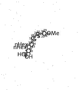 CCCCCCC1(CCCCCC)c2cc(B(O)O)ccc2-c2ccc(-c3ccc(-c4ccc(-c5ccc(OC)cc5)s4)s3)cc21